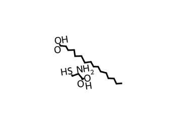 CCCCCCCCCCCCCCCC(=O)O.NC(CS)C(=O)O